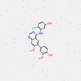 COc1cc(-c2cc3c(Nc4cc(O)ccc4Cl)ncnc3cc2OC)ccc1O